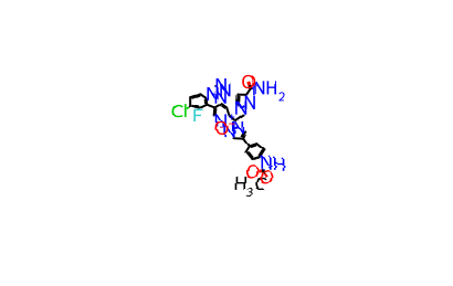 COC(=O)Nc1ccc(-c2cnn(C(Cn3ccc(C(N)=O)n3)c3ccc(-c4c(-n5cnnn5)ccc(Cl)c4F)c[n+]3[O-])c2)cc1